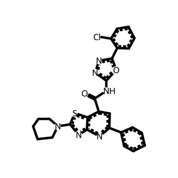 O=C(Nc1nnc(-c2ccccc2Cl)o1)c1cc(-c2ccccc2)nc2nc(N3CCCCC3)sc12